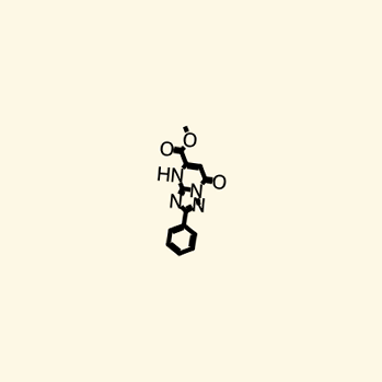 COC(=O)c1cc(=O)n2nc(-c3ccccc3)nc2[nH]1